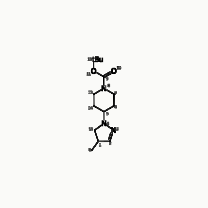 CC1C=NN(C2CCN(C(=O)OC(C)(C)C)CC2)C1